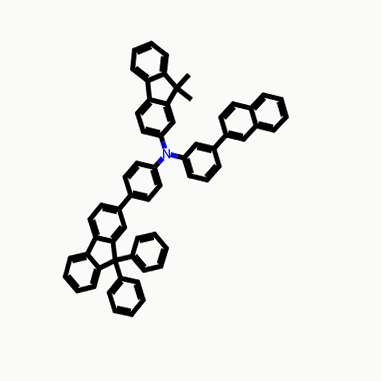 CC1(C)c2ccccc2-c2ccc(N(c3ccc(-c4ccc5c(c4)C(c4ccccc4)(c4ccccc4)c4ccccc4-5)cc3)c3cccc(-c4ccc5ccccc5c4)c3)cc21